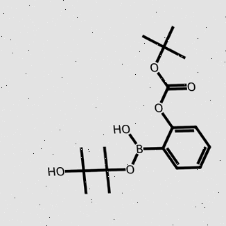 CC(C)(C)OC(=O)Oc1ccccc1B(O)OC(C)(C)C(C)(C)O